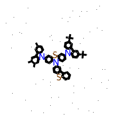 Cc1ccc2c(c1)c1c(n2-c2ccc3c(c2)Sc2cc(-n4c5ccc(C(C)(C)C)cc5c5cc(C(C)(C)C)ccc54)ccc2N3c2ccc3sc4ccccc4c3c2)=CC(C)C(C)C=1